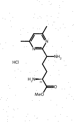 COC(=O)[C@@H](N)CCC(N)c1nc(C)cc(C)n1.Cl